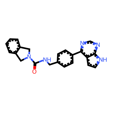 O=C(NCc1ccc(-c2ncnc3[nH]ccc23)cc1)N1Cc2ccccc2C1